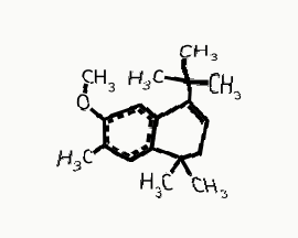 COc1cc2c(cc1C)C(C)(C)CC=C2C(C)(C)C